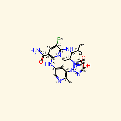 Cc1ncc(Nc2nc(N[C@@H](C(C)C)[C@H](C)NC(=O)O)c(F)cc2C(N)=O)cc1-n1nccn1